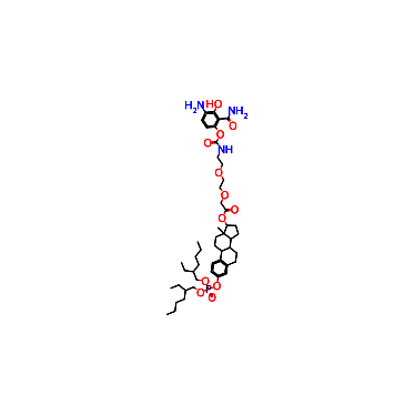 CCCCC(CC)COP(=O)(OCC(CC)CCCC)Oc1ccc2c(c1)CCC1C2CCC2(C)C(OC(=O)COCCOCCNC(=O)Oc3ccc(N)c(O)c3C(N)=O)CCC12